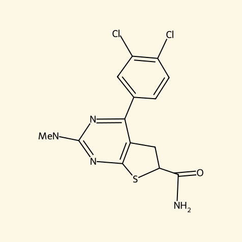 CNc1nc2c(c(-c3ccc(Cl)c(Cl)c3)n1)CC(C(N)=O)S2